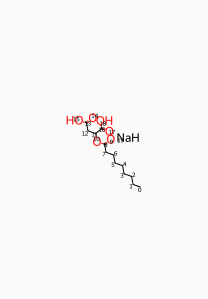 CCCCCCCCC(=O)OC(CC(=O)O)C(=O)O.[NaH]